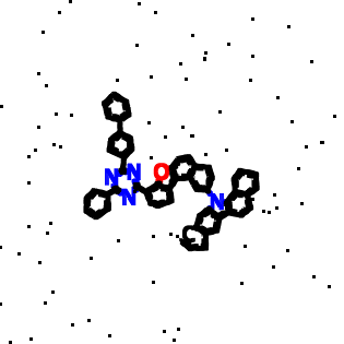 c1ccc(-c2ccc(-c3nc(-c4ccccc4)nc(-c4cccc5c4oc4ccc6ccc(-n7c8cc9ccccc9cc8c8ccc9ccccc9c87)cc6c45)n3)cc2)cc1